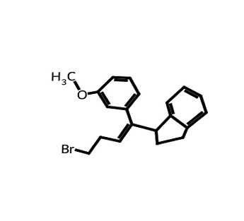 COc1cccc(C(=CCCBr)C2CCc3ccccc32)c1